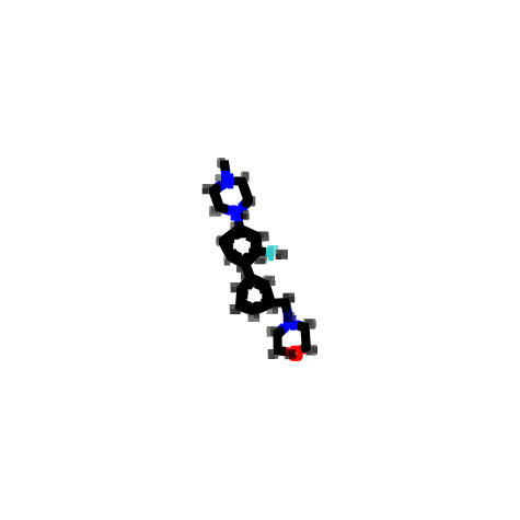 CN1CCN(c2ccc(-c3cccc(CN4CCOCC4)c3)c(F)c2)CC1